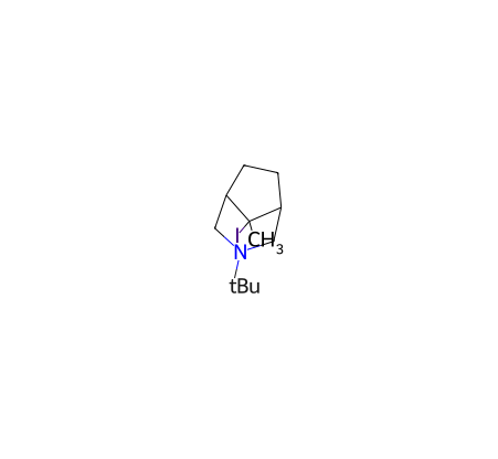 CC1(I)C2CCC1CN(C(C)(C)C)C2